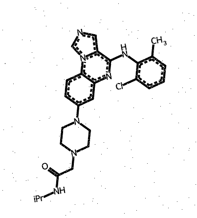 Cc1cccc(Cl)c1Nc1nc2cc(N3CCN(CC(=O)NC(C)C)CC3)ccc2n2cncc12